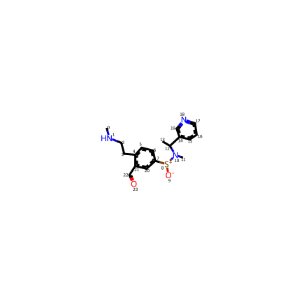 CNCCc1ccc([S+]([O-])N(C)C(C)c2cccnc2)cc1C=O